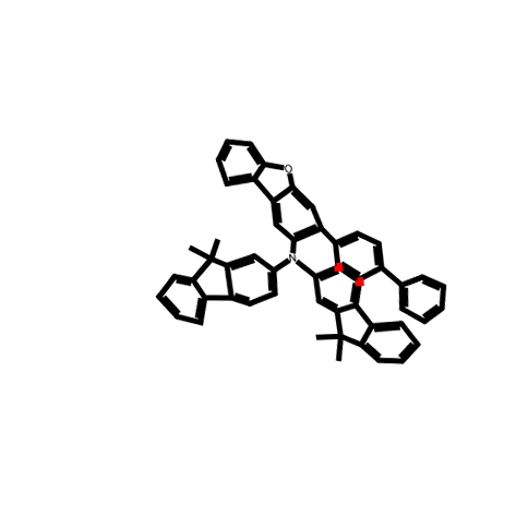 CC1(C)c2ccccc2-c2ccc(N(c3ccc4c(c3)C(C)(C)c3ccccc3-4)c3cc4c(cc3-c3ccc(-c5ccccc5)cc3)oc3ccccc34)cc21